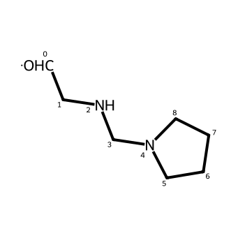 O=[C]CNCN1CCCC1